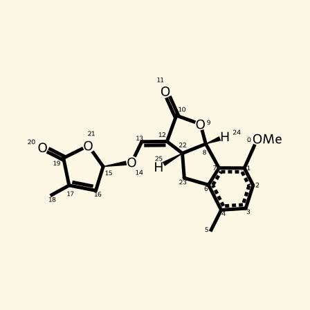 COc1ccc(C)c2c1[C@H]1OC(=O)/C(=C/O[C@H]3C=C(C)C(=O)O3)[C@H]1C2